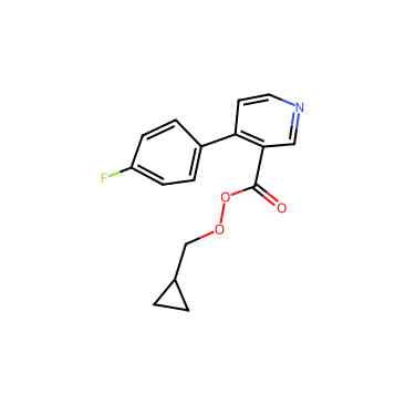 O=C(OOCC1CC1)c1cnccc1-c1ccc(F)cc1